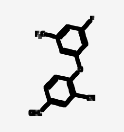 N#Cc1cc(C=O)ccc1Oc1cc(F)cc(C(F)(F)F)c1